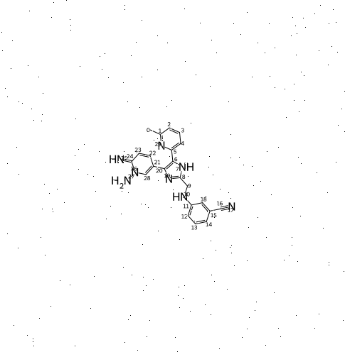 Cc1cccc(-c2[nH]c(CNc3cccc(C#N)c3)nc2-c2ccc(=N)n(N)c2)n1